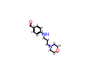 O=Cc1ccc(NCCCN2CCOCC2)cc1